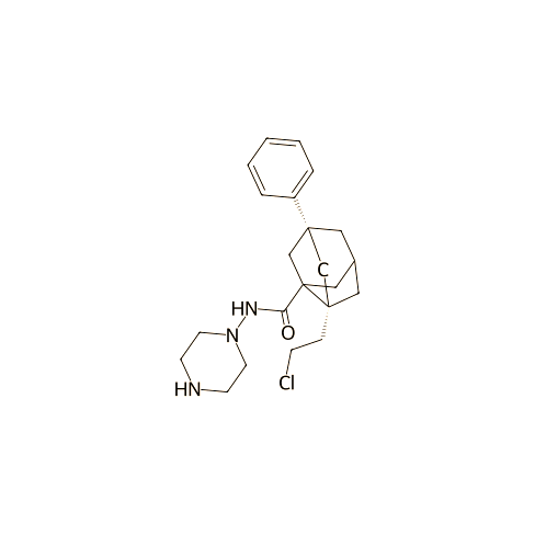 O=C(NN1CCNCC1)C12CC3C[C@](c4ccccc4)(C1)C[C@@]2(CCCl)C3